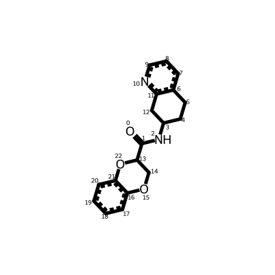 O=C(NC1CCc2cccnc2C1)C1COc2ccccc2O1